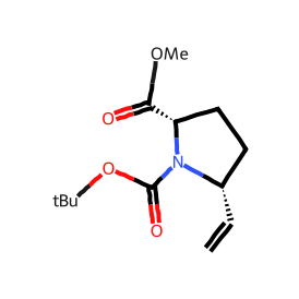 C=C[C@H]1CC[C@@H](C(=O)OC)N1C(=O)OC(C)(C)C